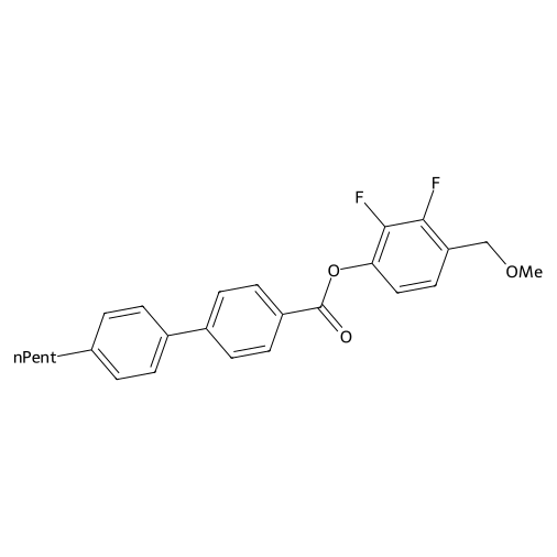 CCCCCc1ccc(-c2ccc(C(=O)Oc3ccc(COC)c(F)c3F)cc2)cc1